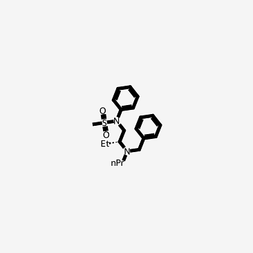 CCCN(Cc1ccccc1)[C@H](CC)CN(c1ccccc1)S(C)(=O)=O